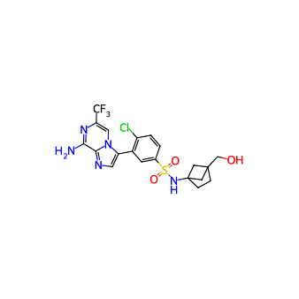 Nc1nc(C(F)(F)F)cn2c(-c3cc(S(=O)(=O)NC45CCC(CO)(C4)C5)ccc3Cl)cnc12